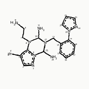 CC(C)c1cnn2c1N(CCN)C(N)N(Cc1ccccc1-n1cccn1)C2N